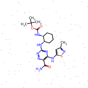 Cc1cc(Nc2nc(N[C@@H]3CCCC[C@@H]3NC(=O)OC(C)(C)C)nnc2C(N)=O)sn1